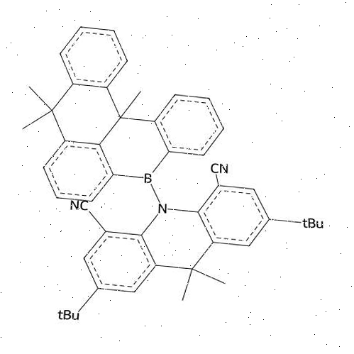 CC(C)(C)c1cc(C#N)c2c(c1)C(C)(C)c1cc(C(C)(C)C)cc(C#N)c1N2B1c2ccccc2C2(C)c3ccccc3C(C)(C)c3cccc1c32